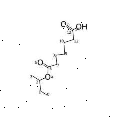 CCC(C)OC(=O)CCCCCC(=O)O